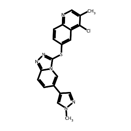 Cc1cnc2ccc(Sc3nnc4ccc(-c5cnn(C)c5)cn34)cc2c1Cl